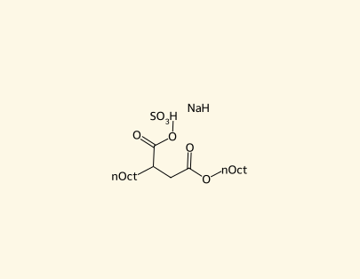 CCCCCCCCOC(=O)CC(CCCCCCCC)C(=O)OS(=O)(=O)O.[NaH]